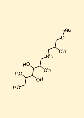 CCCCOCC(O)CNCC(O)C(O)C(O)C(O)CO